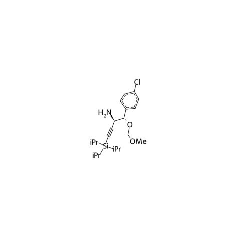 COCO[C@@H](c1ccc(Cl)cc1)[C@H](N)C#C[Si](C(C)C)(C(C)C)C(C)C